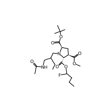 CCCC(F)OC(=O)[C@H]1[C@H](C(=O)OC)C[C@H](C(=O)OC(C)(C)C)N1CC(CC)CNC(C)=O